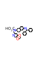 O=C(O)N(Cc1cc2c(cn1)OCCO2)C1CCc2cc(N=C(c3ccccc3)c3ccccc3)ccc2C1